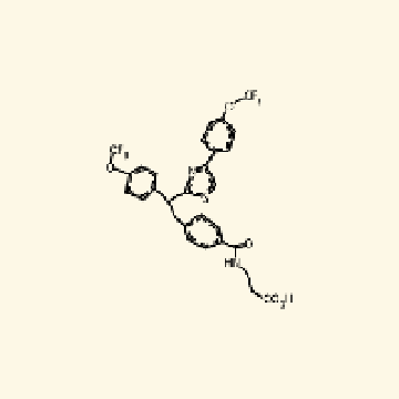 O=C(O)CCNC(=O)c1ccc(CC(c2ccc(OC(F)(F)F)cc2)c2nc(-c3ccc(OC(F)(F)F)cc3)cs2)cc1